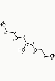 N#CCCOCC(O)COCCO